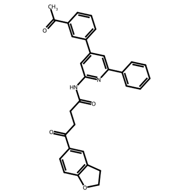 CC(=O)c1cccc(-c2cc(NC(=O)CCC(=O)c3ccc4c(c3)CCO4)nc(-c3ccccc3)c2)c1